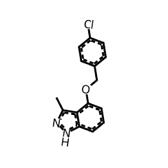 Cc1n[nH]c2cccc(OCc3ccc(Cl)cc3)c12